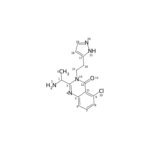 CC(N)c1nc2cccc(Cl)c2c(=O)n1CCc1ccn[nH]1